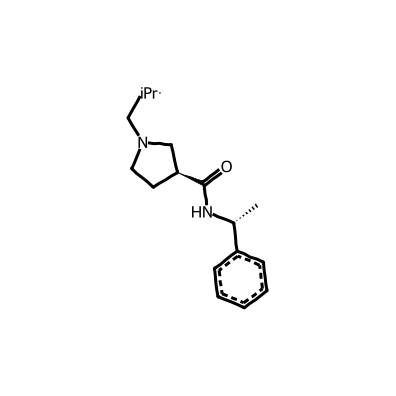 C[C](C)CN1CC[C@H](C(=O)N[C@H](C)c2ccccc2)C1